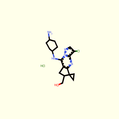 Cl.NC1CCC(Nc2c3c(nc4c(Cl)cnn24)C2(CC2)C(CO)C3)CC1